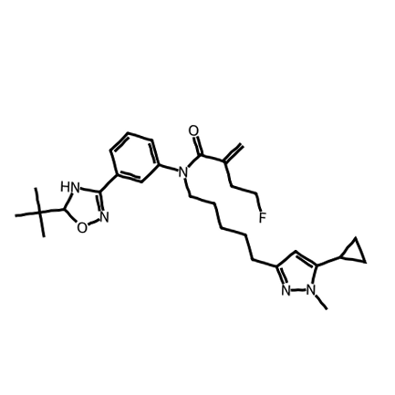 C=C(CCF)C(=O)N(CCCCCc1cc(C2CC2)n(C)n1)c1cccc(C2=NOC(C(C)(C)C)N2)c1